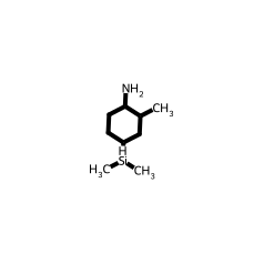 CC1CC([SiH](C)C)CCC1N